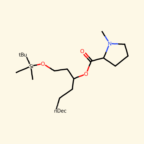 CCCCCCCCCCCCC(CCO[Si](C)(C)C(C)(C)C)OC(=O)C1CCCN1C